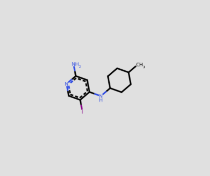 CC1CCC(Nc2cc(N)ncc2I)CC1